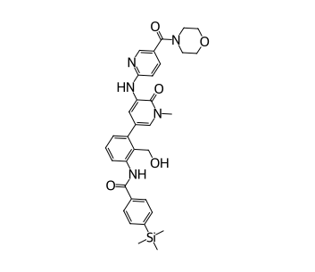 Cn1cc(-c2cccc(NC(=O)c3ccc([Si](C)(C)C)cc3)c2CO)cc(Nc2ccc(C(=O)N3CCOCC3)cn2)c1=O